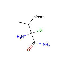 CCCCCC(C)C(N)(Br)C(N)=O